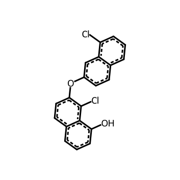 Oc1cccc2ccc(Oc3ccc4cccc(Cl)c4c3)c(Cl)c12